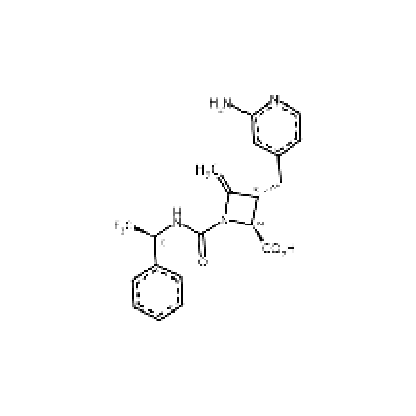 C=C1[C@H](Cc2ccnc(N)c2)[C@@H](C(=O)O)N1C(=O)N[C@@H](c1ccccc1)C(F)(F)F